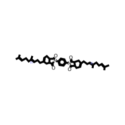 CC(C)=CCC/C(C)=C/CCC1=CCC2C(=O)N(c3ccc(N4C(=O)C5CC=C(CC/C=C(\C)CCC=C(C)C)CC5C4=O)cc3)C(=O)C2C1